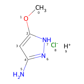 COc1cc(N)n[nH]1.[Cl-].[H+]